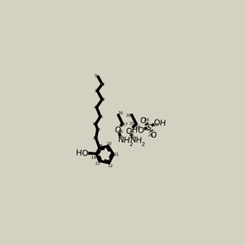 CCCCCCCCCc1ccccc1O.CCON.CCON.O=S(=O)(O)O